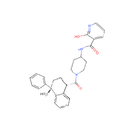 O=C(NC1CCN(C(=O)[C@H]2CC[C@@](C(=O)O)(c3ccccc3)c3ccccc32)CC1)c1cccnc1O